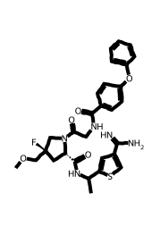 COC[C@@]1(F)C[C@@H](C(=O)NC(C)c2cc(C(=N)N)cs2)N(C(=O)CNC(=O)c2ccc(Oc3ccccc3)cc2)C1